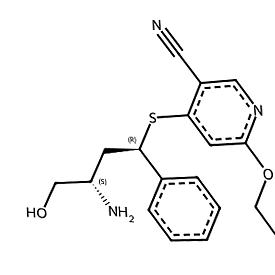 CCOc1cc(S[C@H](C[C@H](N)CO)c2ccccc2)c(C#N)cn1